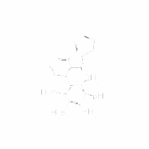 Bc1c(B)c(B)c(-c2cccc3c2oc2ccccc23)c(B)c1B